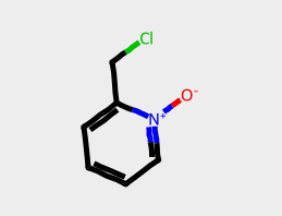 [O-][n+]1ccccc1CCl